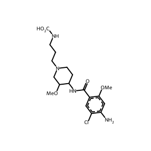 COc1cc(N)c(Cl)cc1C(=O)NC1CCN(CCCNC(=O)O)CC1OC